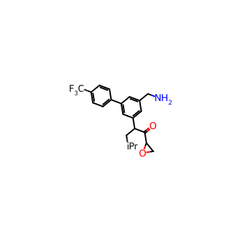 CC(C)CC(C(=O)C1CO1)c1cc(CN)cc(-c2ccc(C(F)(F)F)cc2)c1